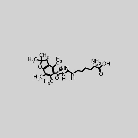 Cc1c(C)c(S(=O)(=O)NC(=N)NCCCC[C@H](N)C(=O)O)c(C)c2c1OC(C)(C)C2